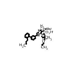 C=CCCc1ccccc1-c1cccc(-c2cc3nc(C)c(C(OC(C)(C)C)C(=O)O)c(N4CCC(C)(COCC=C)CC4)n3n2)c1